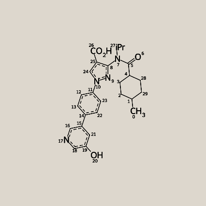 CC1CCC(C(=O)N(c2nn(-c3ccc(-c4cncc(O)c4)cc3)cc2C(=O)O)C(C)C)CC1